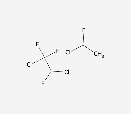 CC(F)Cl.FC(Cl)C(F)(F)Cl